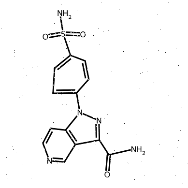 NC(=O)c1nn(-c2ccc(S(N)(=O)=O)cc2)c2ccncc12